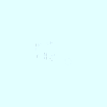 CCN(CCCc1ccccc1)C(=O)[C@H]1N[C@H](C(F)F)[C@@H](O)[C@H](O)[C@@H]1F